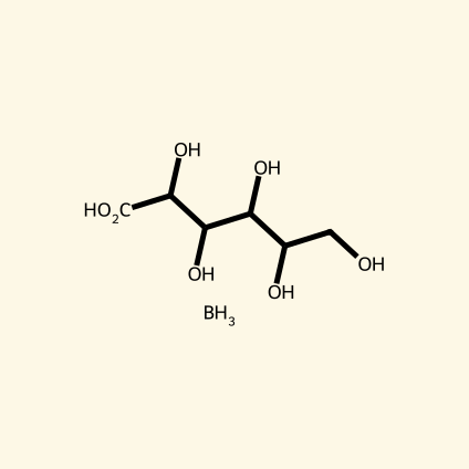 B.O=C(O)C(O)C(O)C(O)C(O)CO